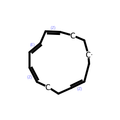 [CH]1C/C=C\CC\C=C/C=C/C=C\CC1